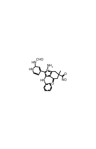 CC1(C(=O)N=O)CC(=O)c2c(Nc3ccccc3)c(C3=CC(NC=O)NC=C3)n(N)c2C1